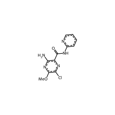 COc1nc(N)c(C(=O)Nc2ccccn2)nc1Cl